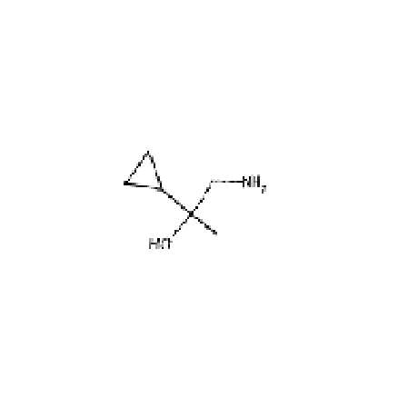 CC(O)(CN)C1CC1